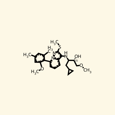 COC[C@@H](O)C(CC1CC1)Nc1c(SC)nn2c(-c3c(C)cc(C)cc3OC)cccc12